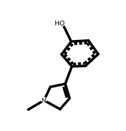 CN1CC=C(c2cccc(O)c2)C1